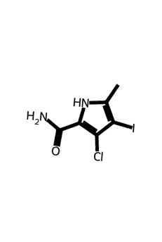 Cc1[nH]c(C(N)=O)c(Cl)c1I